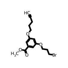 C#CCCCOc1cc(OCCCBr)cc(C(=O)OC)c1